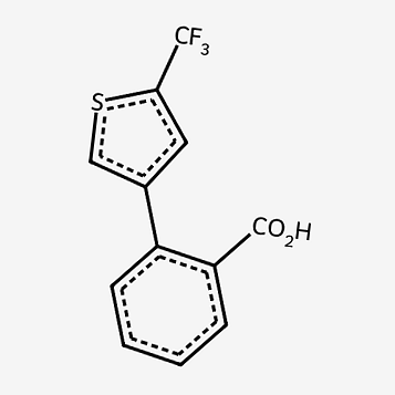 O=C(O)c1ccccc1-c1csc(C(F)(F)F)c1